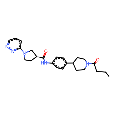 CCCC(=O)N1CCC(c2ccc(NC(=O)[C@H]3CCN(c4cccnn4)C3)cc2)CC1